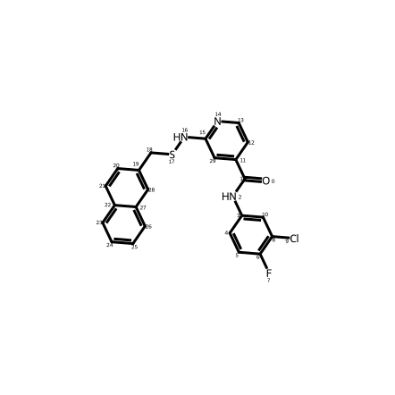 O=C(Nc1ccc(F)c(Cl)c1)c1ccnc(NSCc2ccc3ccccc3c2)c1